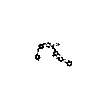 Cc1ccc(OCCc2ccc(CN3CCN(C(=O)C=Cc4cc(C)c(Oc5ccc(OCc6cccc(F)c6C)cn5)c(Cl)c4)CC3)cc2)cc1.Cl